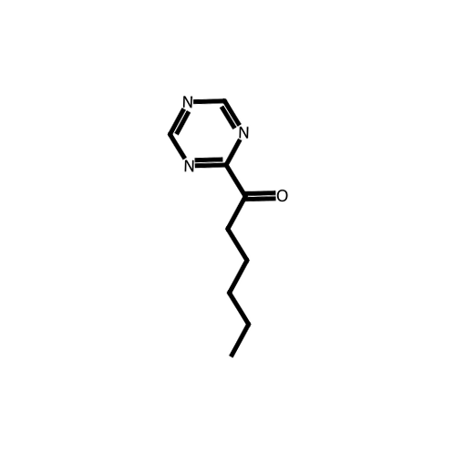 CCCCCC(=O)c1ncncn1